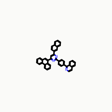 c1ccc2cc(-c3cc(-c4cc5ccccc5c5ccccc45)nc(-c4ccc(-c5nccc6ccccc56)cc4)n3)ccc2c1